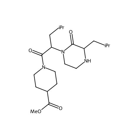 COC(=O)C1CCN(C(=O)C(CC(C)C)N2CCNC(CC(C)C)C2=O)CC1